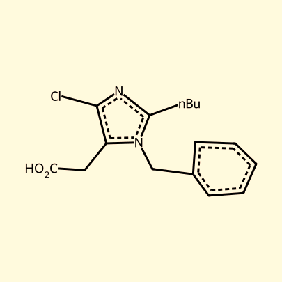 CCCCc1nc(Cl)c(CC(=O)O)n1Cc1ccccc1